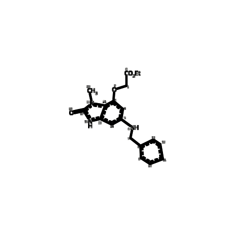 CCOC(=O)COc1cc(NCc2ccccc2)cc2[nH]c(=O)n(C)c12